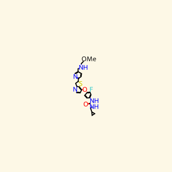 COCCNCc1ccc(C2Cc3nccc(Oc4ccc(NC(=O)NCC5CC5)cc4F)c3S2)nc1